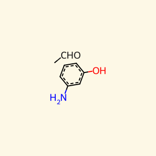 CC=O.Nc1cccc(O)c1